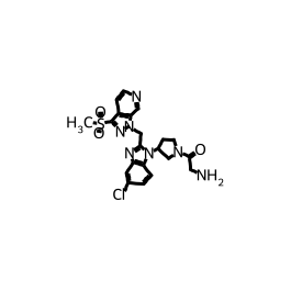 CS(=O)(=O)c1nn(Cc2nc3cc(Cl)ccc3n2C2CCN(C(=O)CN)C2)c2cnccc12